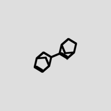 [C]1=C(C2CC3C=CC2C3)C2CCC1C2